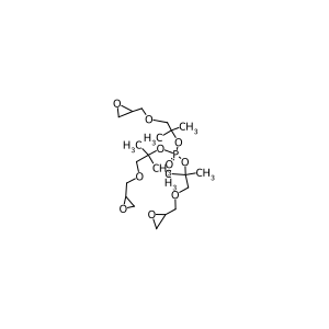 CC(C)(COCC1CO1)OP(=O)(OC(C)(C)COCC1CO1)OC(C)(C)COCC1CO1